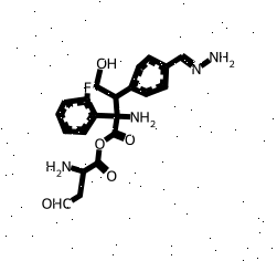 NN=Cc1ccc(C(CO)C(N)(C(=O)OC(=O)C(N)CC=O)c2ccccc2F)cc1